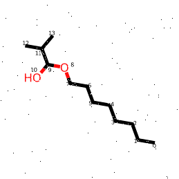 CCCCCCCCOC(O)C(C)C